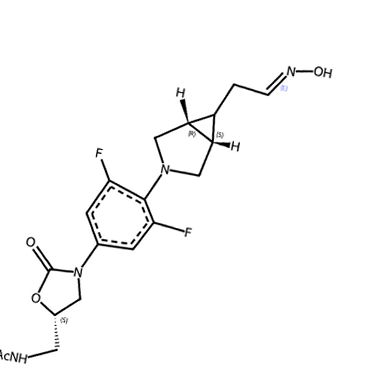 CC(=O)NC[C@H]1CN(c2cc(F)c(N3C[C@@H]4C(C/C=N/O)[C@@H]4C3)c(F)c2)C(=O)O1